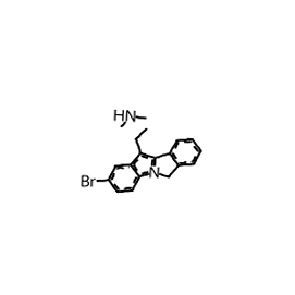 CCc1c2n(c3ccc(Br)cc13)Cc1ccccc1-2.CNC